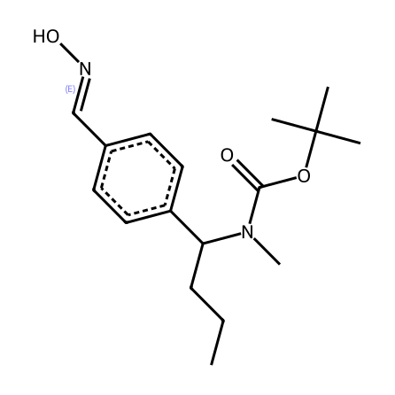 CCCC(c1ccc(/C=N/O)cc1)N(C)C(=O)OC(C)(C)C